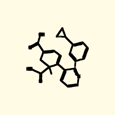 CC1(C(=O)O)CC(C(=O)O)=CC=C1c1cccnc1-c1cccc(C2CC2)c1